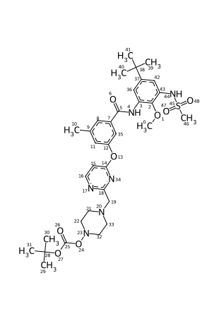 COc1c(NC(=O)c2cc(C)cc(Oc3ccnc(CN4CCN(OC(=O)OC(C)(C)C)CC4)n3)c2)cc(C(C)(C)C)cc1NS(C)(=O)=O